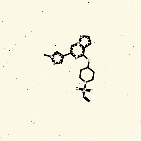 C=CS(=O)(=O)N1CCC(Oc2nc(-c3cnn(C)c3)cn3nccc23)CC1